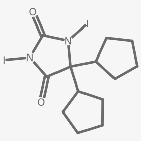 O=C1N(I)C(=O)C(C2CCCC2)(C2CCCC2)N1I